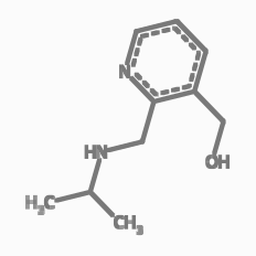 CC(C)NCc1ncccc1CO